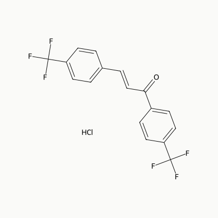 Cl.O=C(C=Cc1ccc(C(F)(F)F)cc1)c1ccc(C(F)(F)F)cc1